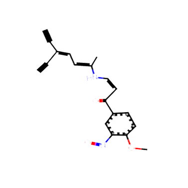 C#CC(C#C)=C/C=C(\C)N/C=C\C(=O)c1ccc(OC)c(N=O)c1